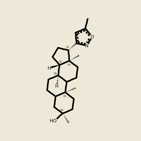 [CH2]c1cc([C@H]2CC[C@H]3[C@@H]4CCC5C[C@](C)(O)CC[C@]5(C)C4CC[C@]23C)no1